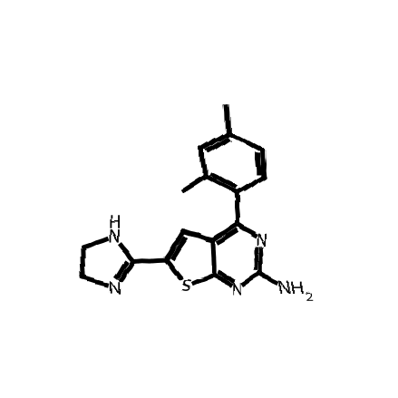 Cc1ccc(-c2nc(N)nc3sc(C4=NCCN4)cc23)c(C)c1